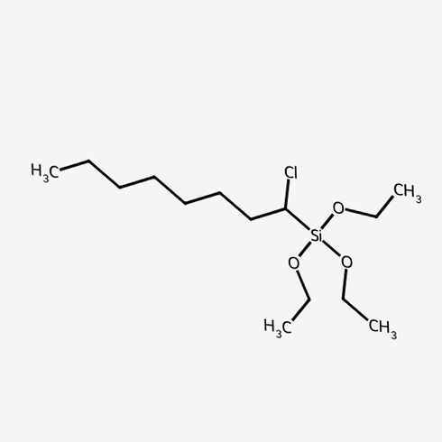 CCCCCCCC(Cl)[Si](OCC)(OCC)OCC